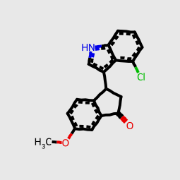 COc1ccc2c(c1)C(=O)CC2c1c[nH]c2cccc(Cl)c12